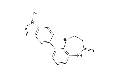 CC(C)n1ccc2cc(-c3cccc4c3NCCC(=O)N4)ccc21